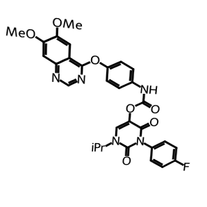 COc1cc2ncnc(Oc3ccc(NC(=O)Oc4cn(C(C)C)c(=O)n(-c5ccc(F)cc5)c4=O)cc3)c2cc1OC